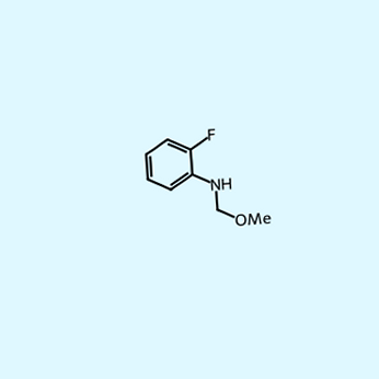 COCNc1ccccc1F